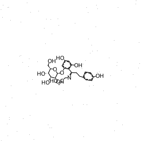 O=C(O)CN=C(CCc1ccc(O)cc1)c1c(O)cc(O)cc1O[C@@H]1O[C@H](CO)[C@@H](O)[C@H](O)[C@H]1O